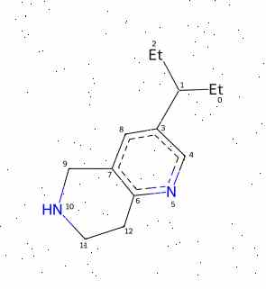 CCC(CC)c1cnc2c(c1)CNCC2